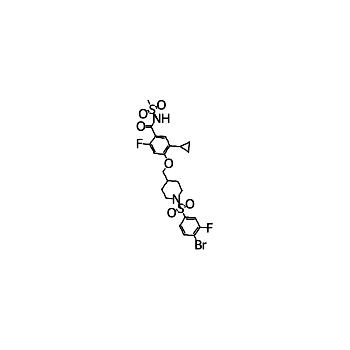 CS(=O)(=O)NC(=O)c1cc(C2CC2)c(OCC2CCN(S(=O)(=O)c3ccc(Br)c(F)c3)CC2)cc1F